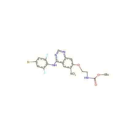 CC(C)(C)OC(=O)NCCOc1cc2ncnc(Nc3c(F)cc(Br)cc3F)c2cc1[N+](=O)[O-]